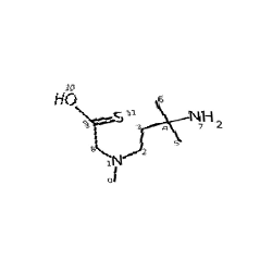 CN(CCC(C)(C)N)CC(O)=S